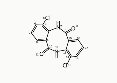 O=C1Nc2c(Cl)cccc2C(=O)Nc2c(Cl)cccc21